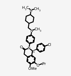 COc1cc2c(cc1OC(C)C)[C@H](c1ccc(Cl)cc1)N(c1ccc(N(C)CC3CCC(N(C)C)CC3)cc1)C(=O)C2